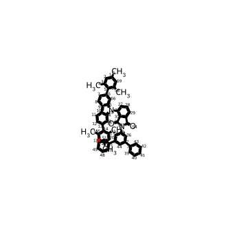 Cc1cc(C)c(-c2ccc3c4ccc(-c5c(C)cc(C)cc5C)cc4n(-c4cccc5c4C(=O)N(c4cc(-c6ccccc6)cc(-c6ccccc6)c4)C5=O)c3c2)c(C)c1